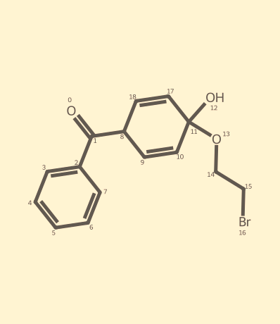 O=C(c1ccccc1)C1C=CC(O)(OCCBr)C=C1